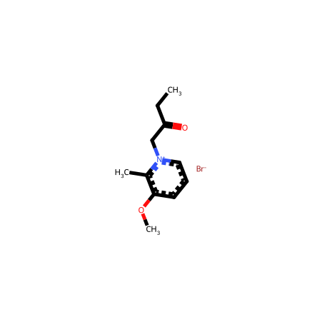 CCC(=O)C[n+]1cccc(OC)c1C.[Br-]